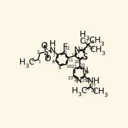 CCCS(=O)(=O)Nc1cccc(-c2nc(C(C)(C)C)sc2-c2ccnc(NC(C)C)n2)c1F